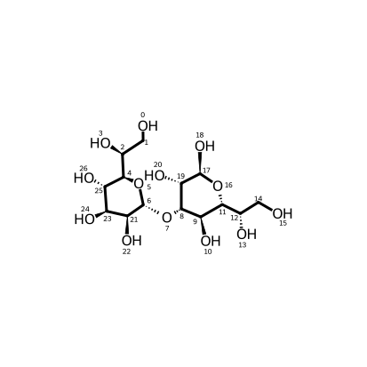 OC[C@H](O)[C@H]1O[C@H](O[C@H]2[C@H](O)[C@@H]([C@@H](O)CO)O[C@H](O)[C@H]2O)[C@@H](O)[C@@H](O)[C@@H]1O